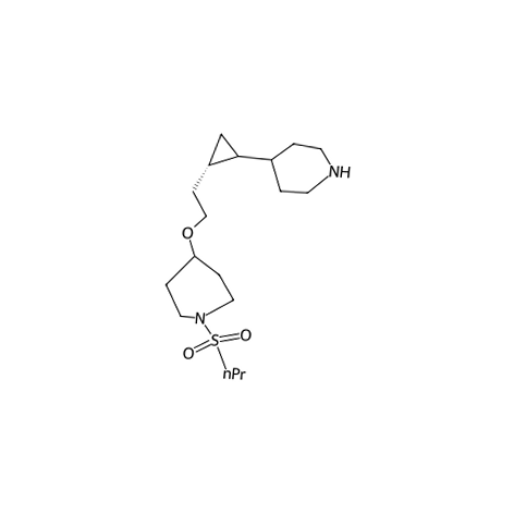 CCCS(=O)(=O)N1CCC(OCC[C@@H]2CC2C2CCNCC2)CC1